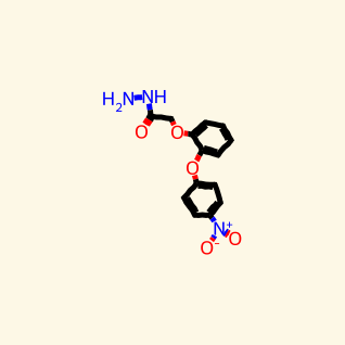 NNC(=O)COc1ccccc1Oc1ccc([N+](=O)[O-])cc1